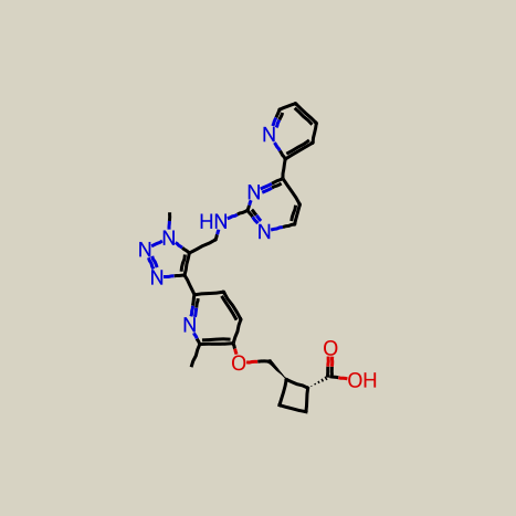 Cc1nc(-c2nnn(C)c2CNc2nccc(-c3ccccn3)n2)ccc1OC[C@@H]1CC[C@H]1C(=O)O